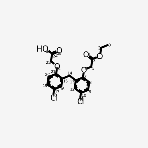 CCOC(=O)COc1ccc(Cl)cc1Cc1cc(Cl)ccc1OCC(=O)O